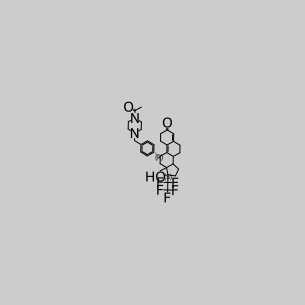 CC(=O)N1CCN(Cc2ccc([C@H]3CC4(C)C(CC[C@@]4(O)C(F)(F)C(F)(F)F)C4CCC5=CC(=O)CCC5=C43)cc2)CC1